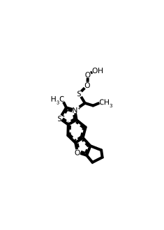 CCC(SOOO)[n+]1c(C)sc2cc3oc4c(c3cc21)CCC4